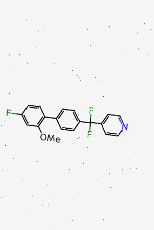 COc1cc(F)ccc1-c1ccc(C(F)(F)c2ccncc2)cc1